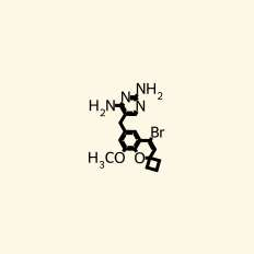 COc1cc(Cc2cnc(N)nc2N)cc2c1OC1(C=C2Br)CCC1